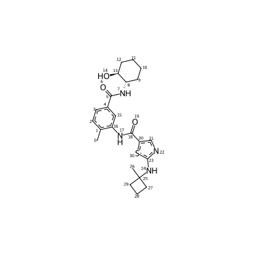 Cc1ccc(C(=O)N[C@H]2CCCC[C@@H]2O)cc1NC(=O)c1cnc(NC2(C)CCC2)s1